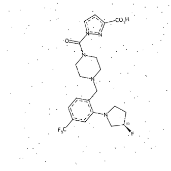 O=C(O)c1ccn(C(=O)N2CCN(Cc3ccc(C(F)(F)F)cc3N3CC[C@@H](F)C3)CC2)n1